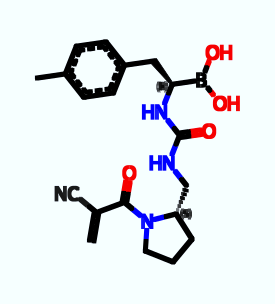 C=C(C#N)C(=O)N1CCC[C@H]1CNC(=O)N[C@@H](Cc1ccc(C)cc1)B(O)O